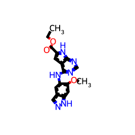 CCOC(=O)c1cc2c(Nc3cc4cn[nH]c4cc3OC)ncnc2[nH]1